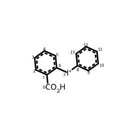 O=C(O)c1ccccc1[I+]c1ccccc1